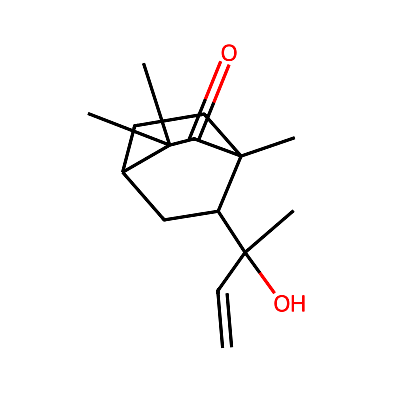 C=CC(C)(O)C1CC2CCC1(C)C(=O)C2(C)C